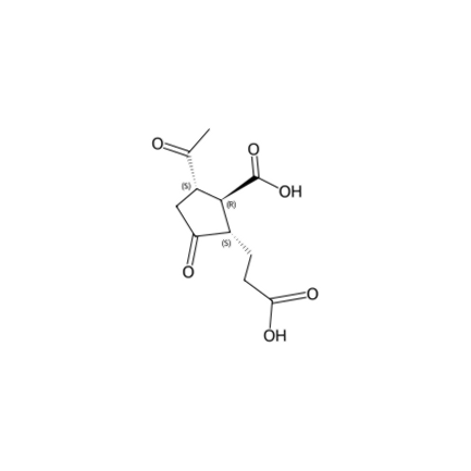 CC(=O)[C@H]1CC(=O)[C@@H](CCC(=O)O)[C@@H]1C(=O)O